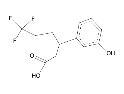 O=C(O)CC(CCC(F)(F)F)c1cccc(O)c1